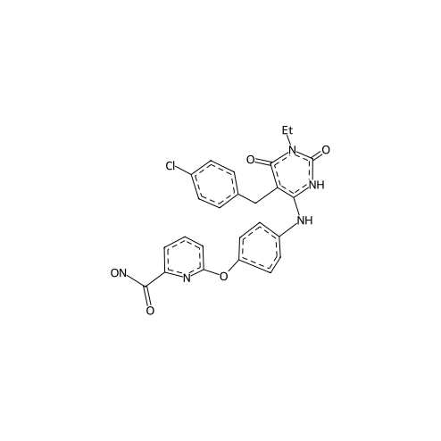 CCn1c(=O)[nH]c(Nc2ccc(Oc3cccc(C(=O)N=O)n3)cc2)c(Cc2ccc(Cl)cc2)c1=O